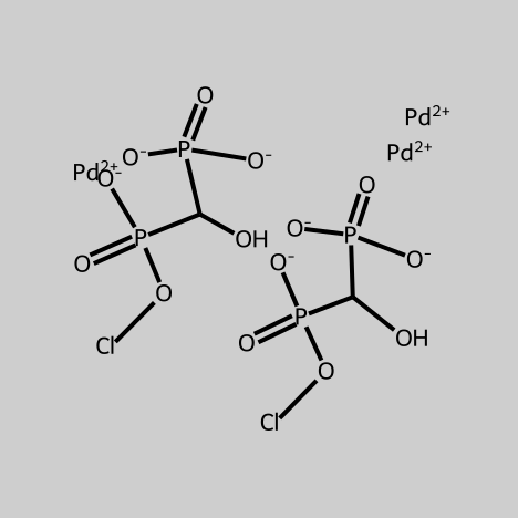 O=P([O-])([O-])C(O)P(=O)([O-])OCl.O=P([O-])([O-])C(O)P(=O)([O-])OCl.[Pd+2].[Pd+2].[Pd+2]